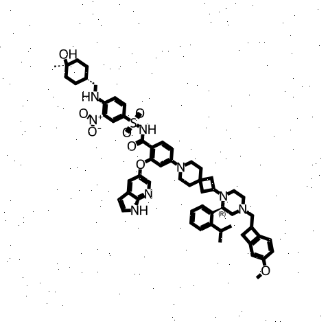 COc1ccc2c(c1)CC2CN1CCN(C2CC3(CCN(c4ccc(C(=O)NS(=O)(=O)c5ccc(NC[C@H]6CC[C@](C)(O)CC6)c([N+](=O)[O-])c5)c(Oc5cnc6[nH]ccc6c5)c4)CC3)C2)[C@H](c2ccccc2C(C)C)C1